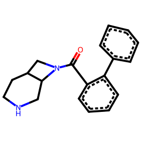 O=C(c1ccccc1-c1ccccc1)N1CC2CCNCC21